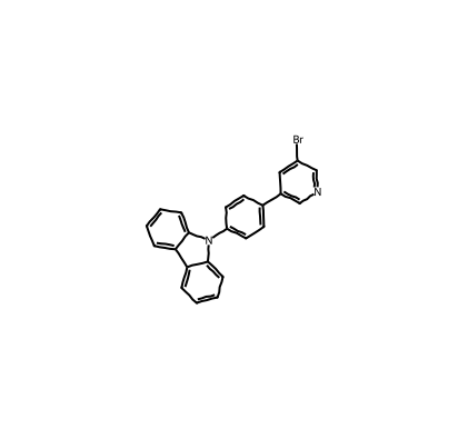 Brc1cncc(-c2ccc(-n3c4ccccc4c4ccccc43)cc2)c1